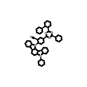 N#Cc1cc(-c2nc(-c3ccccc3)nc(-c3ccccc3-c3ccccc3)n2)ccc1-n1c2ccccc2c2ccc3c(c4ccccc4n3-c3ccccc3)c21